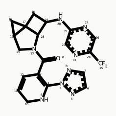 O=C(C1=C(n2nccn2)NCC=C1)N1CC2CC23CC(Nc2cnc(C(F)(F)F)cn2)C13